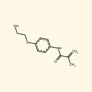 C=C(C)C(=O)Nc1ccc(OCCO)cc1